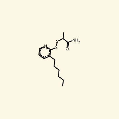 CCCCCCc1cccnc1SSC(C)C(N)=O